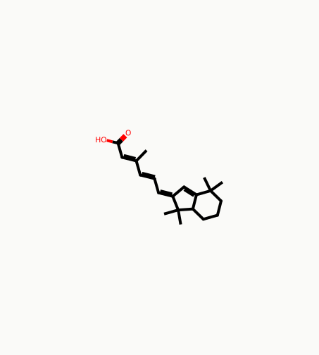 CC(/C=C/C=C1\C=C2C(CCCC2(C)C)C1(C)C)=C\C(=O)O